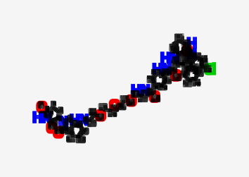 O=C1CCC(N2Cc3c(NCCOCCOCCOCCNC(=O)[C@H]4CC[C@H](NC(=O)[C@@H]5NC6(CCCCC6)[C@@]6(C(=O)Nc7cc(Cl)ccc76)[C@H]5c5ccccc5)CC4)cccc3C2=O)C(=O)N1